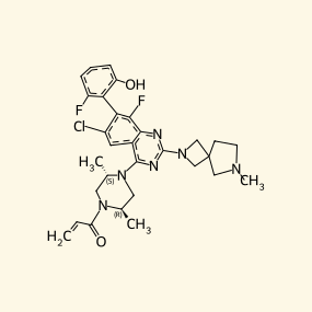 C=CC(=O)N1C[C@H](C)N(c2nc(N3CC4(CCN(C)C4)C3)nc3c(F)c(-c4c(O)cccc4F)c(Cl)cc23)C[C@H]1C